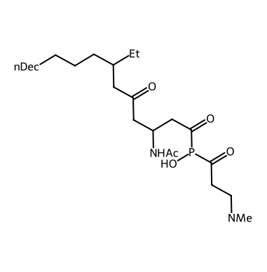 CCCCCCCCCCCCCC(CC)CC(=O)CC(CC(=O)P(O)C(=O)CCNC)NC(C)=O